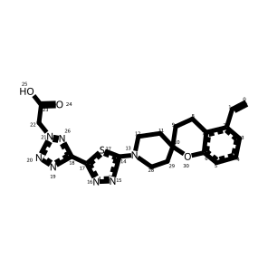 C=Cc1cccc2c1CCC1(CCN(c3nnc(-c4nnn(CC(=O)O)n4)s3)CC1)O2